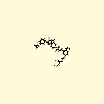 Cc1ccc(OCCC(O)CO)cc1C=CS(=O)(=O)N1CCC2(CC1)N=C(c1cccc(OC(F)(F)F)c1)NC2=O